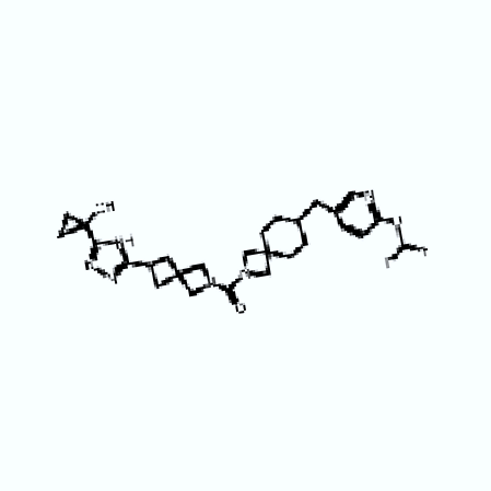 O=C(N1CC2(CCC(Cc3ccc(OC(F)F)nc3)CC2)C1)N1CC2(CC(c3nnc(C4(O)CC4)[nH]3)C2)C1